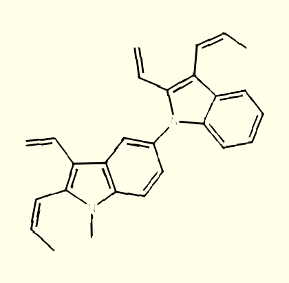 C=Cc1c(/C=C\C)n(C)c2ccc(-n3c(C=C)c(/C=C\C)c4ccccc43)cc12